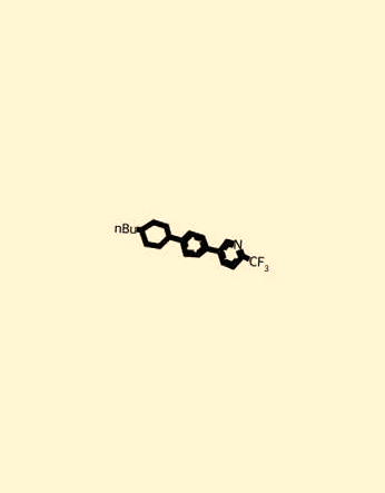 CCCCC1CCC(c2ccc(-c3ccc(C(F)(F)F)nc3)cc2)CC1